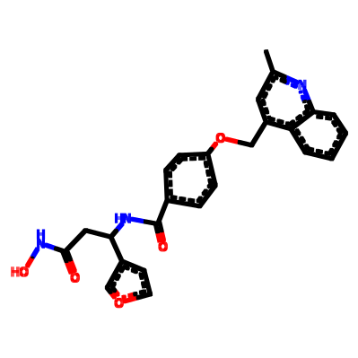 Cc1cc(COc2ccc(C(=O)NC(CC(=O)NO)c3ccoc3)cc2)c2ccccc2n1